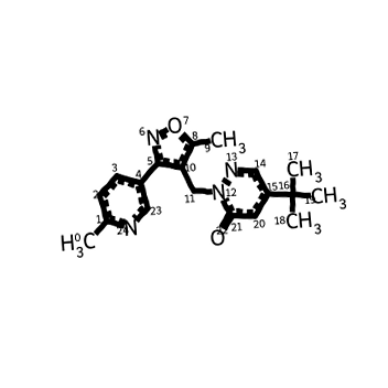 Cc1ccc(-c2noc(C)c2Cn2ncc(C(C)(C)C)cc2=O)cn1